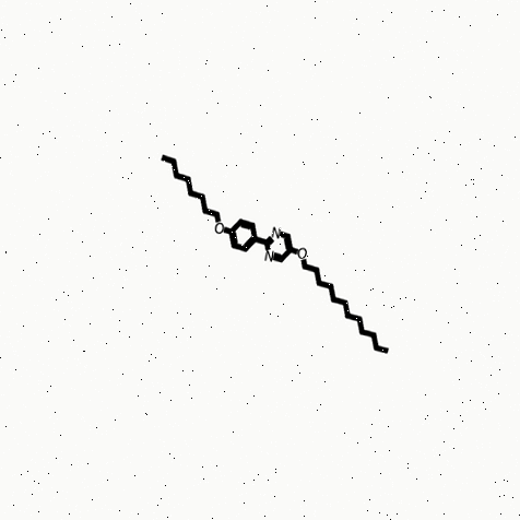 CCCCCCCCCCCCOc1cnc(-c2ccc(OCCCCCCCC)cc2)nc1